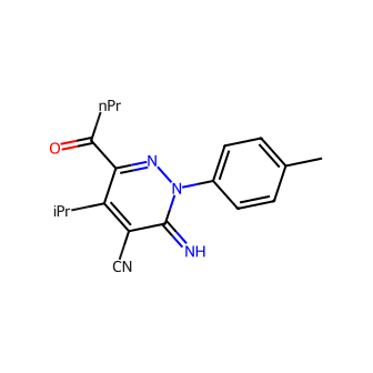 CCCC(=O)c1nn(-c2ccc(C)cc2)c(=N)c(C#N)c1C(C)C